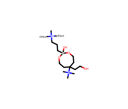 CCCCCC[N+](C)(CCCCC)CCC[Si]1(O)OCCC(CCO)([N+](C)(C)C)CCO1